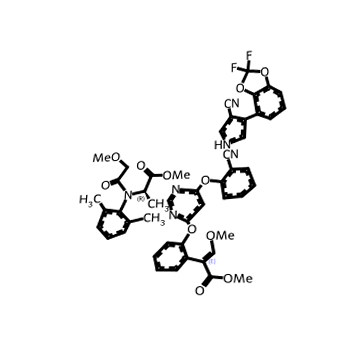 CO/C=C(/C(=O)OC)c1ccccc1Oc1cc(Oc2ccccc2C#N)ncn1.COCC(=O)N(c1c(C)cccc1C)[C@H](C)C(=O)OC.N#Cc1c[nH]cc1-c1cccc2c1OC(F)(F)O2